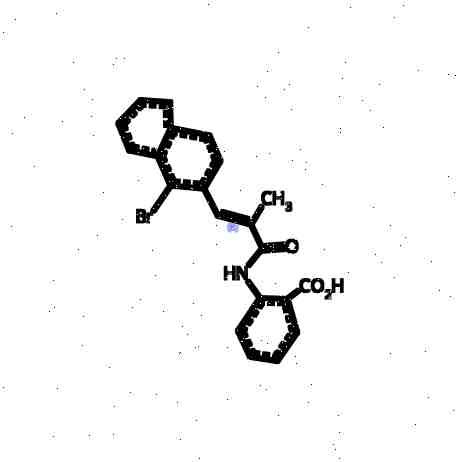 C/C(=C\c1ccc2ccccc2c1Br)C(=O)Nc1ccccc1C(=O)O